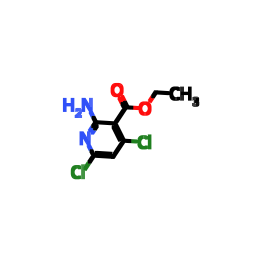 CCOC(=O)c1c(Cl)cc(Cl)nc1N